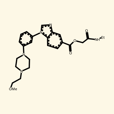 CCNC(=O)COC(=O)c1ccc2c(c1)ncn2-c1cccc(N2CCN(CCOC)CC2)c1